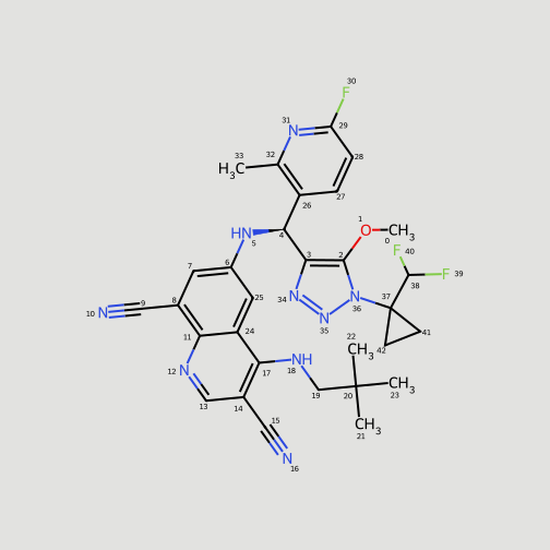 COc1c([C@@H](Nc2cc(C#N)c3ncc(C#N)c(NCC(C)(C)C)c3c2)c2ccc(F)nc2C)nnn1C1(C(F)F)CC1